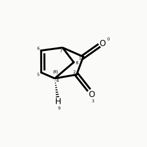 O=C1C(=O)[C@H]2C=CC1C2